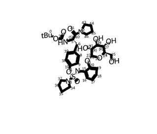 CC(C)(C)OC(=O)N[C@@H](Cc1ccc(OS(=O)(=Nc2ccccc2O[C@H]2O[C@H](CO)[C@H](O)[C@H](O)[C@H]2O)N2CCCC2)cc1)C(=O)N1CCCC1